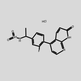 CC(N[SH](=O)=O)c1ccc(-c2ccnc3[nH]c(=O)ccc23)c(F)c1.Cl